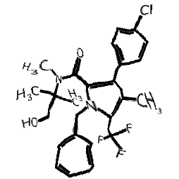 Cc1c(-c2ccc(Cl)cc2)c(C(=O)N(C)C(C)(C)CO)n(Cc2ccccc2)c1C(F)(F)F